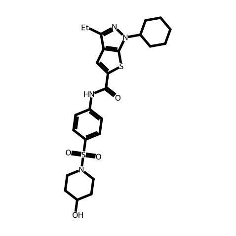 CCc1nn(C2CCCCC2)c2sc(C(=O)Nc3ccc(S(=O)(=O)N4CCC(O)CC4)cc3)cc12